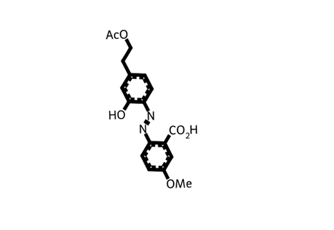 COc1ccc(N=Nc2ccc(CCOC(C)=O)cc2O)c(C(=O)O)c1